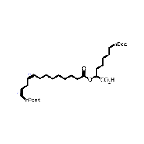 CCCCC/C=C\C/C=C\CCCCCCCC(=O)OC(CCCCCCCCCCCCCCC)C(=O)O